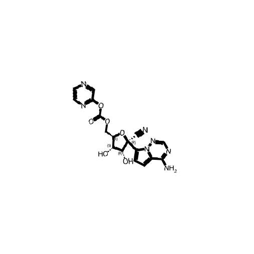 N#C[C@@]1(c2ccc3c(N)ncnn23)O[C@H](COC(=O)Oc2cnccn2)[C@@H](O)[C@H]1O